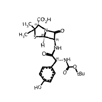 CC(C)(C)OC(=O)N[C@@H](C(=O)N[C@@H]1C(=O)N2[C@@H]1SC(C)(C)[C@@H]2C(=O)O)c1ccc(O)cc1